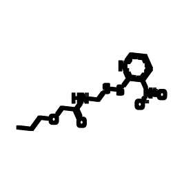 CCCOCC(=O)NCSSc1ncccc1[N+](=O)[O-]